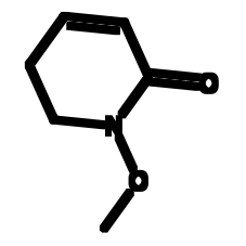 CON1CCC=CC1=O